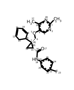 Cc1ncc(OC[C@@]2(C3C=CC=CC3)C[C@H]2C(=O)Nc2ccc(F)cc2)c(C)n1